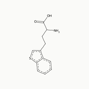 NC(CCc1csc2ccccc12)C(=O)O